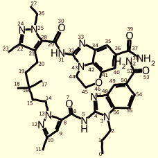 CCCn1c(NC(=O)c2cc(C)nn2CCC(C)(C)CCc2c(C)nn(CC)c2C(=O)Nc2nc3cc(C(N)=O)cc4c3n2CCO4)nc2cc(C(N)=O)ccc21